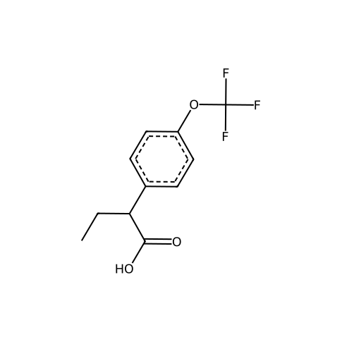 CCC(C(=O)O)c1ccc(OC(F)(F)F)cc1